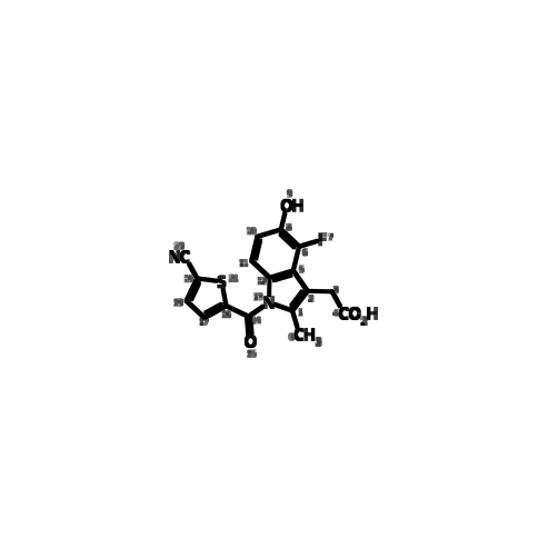 Cc1c(CC(=O)O)c2c(F)c(O)ccc2n1C(=O)c1ccc(C#N)s1